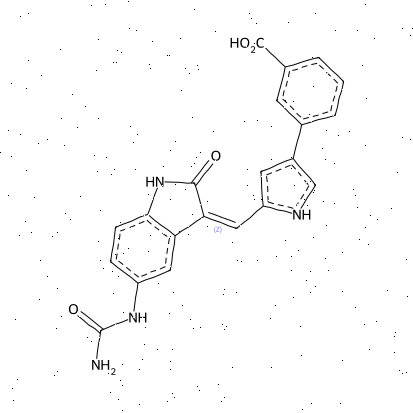 NC(=O)Nc1ccc2c(c1)/C(=C/c1cc(-c3cccc(C(=O)O)c3)c[nH]1)C(=O)N2